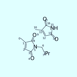 CC1=CC(=O)N(CC(C)C)C1=O.CC1=CC(=O)NC1=O